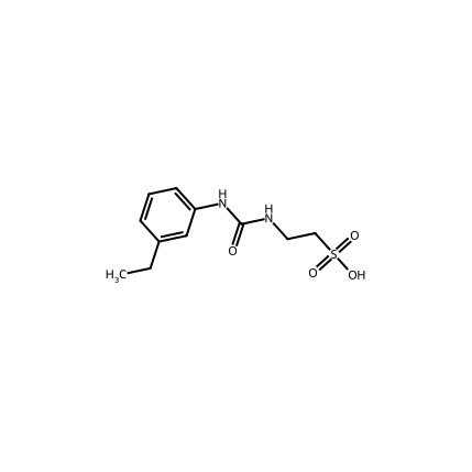 CCc1cccc(NC(=O)NCCS(=O)(=O)O)c1